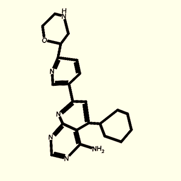 Nc1ncnc2nc(-c3ccc(C4CNCCO4)nc3)cc(C3CCCCC3)c12